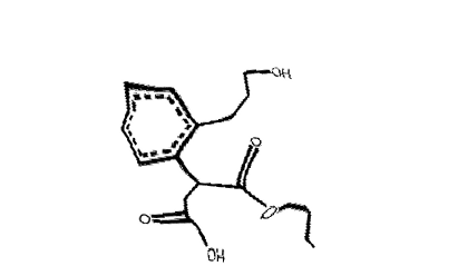 CCOC(=O)C(C(=O)O)c1ccccc1CCO